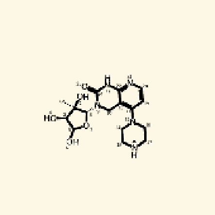 C[C@@]1(O)[C@H](O)C(O)O[C@H]1N1Cc2c(N3CCNCC3)ccnc2NC1=O